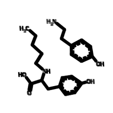 CCCCCNC(Cc1ccc(O)cc1)C(=O)O.NCCc1ccc(O)cc1